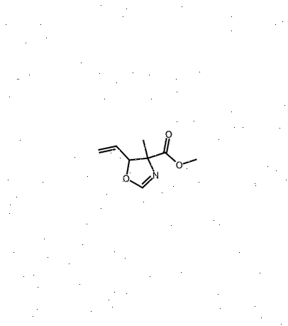 C=CC1OC=NC1(C)C(=O)OC